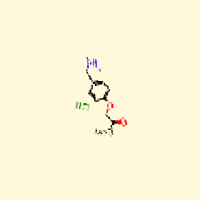 COC(=O)COc1ccc(CN)cc1.Cl